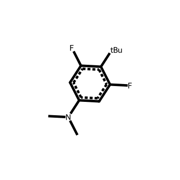 CN(C)c1cc(F)c(C(C)(C)C)c(F)c1